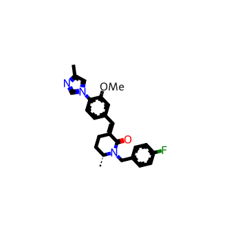 COc1cc(/C=C2\CC[C@@H](C)N(Cc3ccc(F)cc3)C2=O)ccc1-n1cnc(C)c1